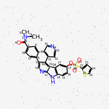 CN(C)C(=O)c1ccc(-c2cnc3[nH]c4ccc(OS(=O)(=O)c5cccs5)cc4c3c2-c2ccncc2)cc1